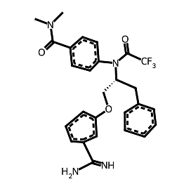 CN(C)C(=O)c1ccc(N(C(=O)C(F)(F)F)[C@@H](COc2cccc(C(=N)N)c2)Cc2ccccc2)cc1